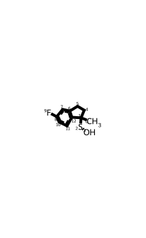 CC1(SO)CCc2cc(F)ccc21